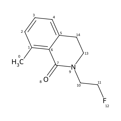 Cc1cccc2c1C(=O)N(CCF)CC2